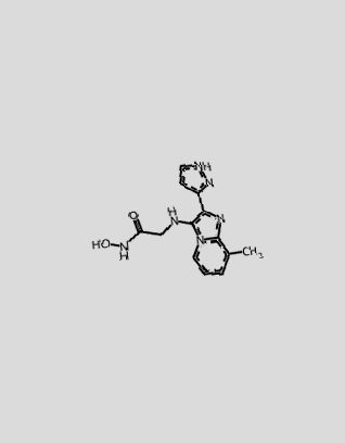 Cc1cccn2c(NCC(=O)NO)c(-c3cc[nH]n3)nc12